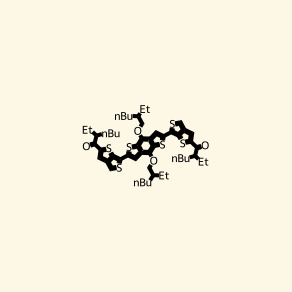 CCCCC(CC)COc1c2cc(-c3scc4cc(C(=O)C(CC)CCCC)sc34)sc2c(OCC(CC)CCCC)c2cc(-c3scc4cc(C(=O)C(CC)CCCC)sc34)sc12